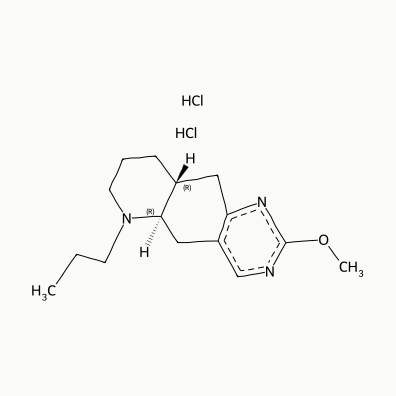 CCCN1CCC[C@@H]2Cc3nc(OC)ncc3C[C@H]21.Cl.Cl